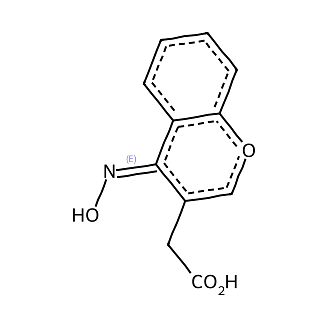 O=C(O)Cc1coc2ccccc2/c1=N/O